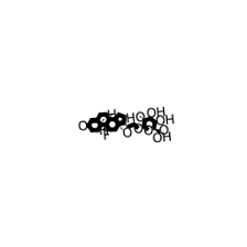 C[C@]12C[C@@H](F)[C@H]3[C@@H](CCC4=CC(=O)CC[C@@]43C)[C@@H]1CC[C@@H]2C(=O)COC1O[C@H](C(=O)O)[C@@H](O)[C@H](O)[C@H]1O